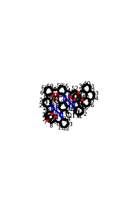 N#Cc1c(-n2c3ccccc3c3ccccc32)c(-n2c3ccccc3c3ccccc32)c(C#N)c(-n2c3ccc(-c4cccc5ccc6ccccc6c45)cc3c3ccc4c5ccccc5oc4c32)c1-n1c2ccccc2c2ccccc21